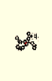 CC1(C)c2ccccc2-c2ccc(N(c3ccc(-c4ccc5oc6cccc(-c7nc(-c8ccccc8)nc(-c8ccccc8)n7)c6c5c4)cc3)c3ccc4sc5ccccc5c4c3)cc21